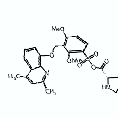 COc1ccc(S(=O)(=O)OC(=O)[C@@H]2CCCN2)c(OC)c1COc1cccc2c(C)cc(C)nc12